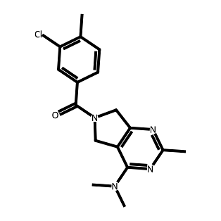 Cc1nc2c(c(N(C)C)n1)CN(C(=O)c1ccc(C)c(Cl)c1)C2